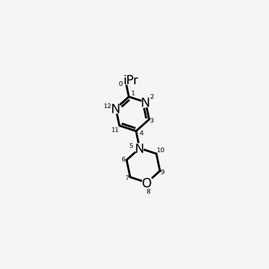 CC(C)c1ncc(N2CCOCC2)cn1